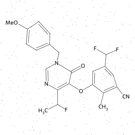 COc1ccc(Cn2cnc(C(C)F)c(Oc3cc(C(F)F)cc(C#N)c3C)c2=O)cc1